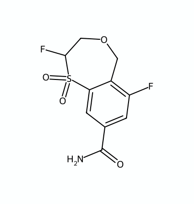 NC(=O)c1cc(F)c2c(c1)S(=O)(=O)C(F)COC2